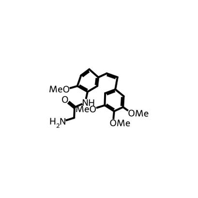 COc1ccc(/C=C\c2cc(OC)c(OC)c(OC)c2)cc1NC(=O)CN